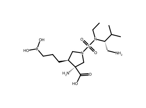 CCN([C@@H](CN)C(C)C)S(=O)(=O)N1C[C@H](CCCB(O)O)[C@](N)(C(=O)O)C1